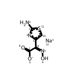 Nc1nc(C(=NO)C(=O)[O-])cs1.[Na+]